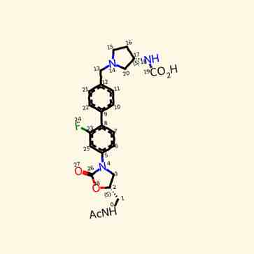 CC(=O)NC[C@H]1CN(c2ccc(-c3ccc(CN4CC[C@H](NC(=O)O)C4)cc3)c(F)c2)C(=O)O1